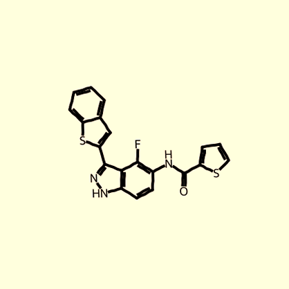 O=C(Nc1ccc2[nH]nc(-c3cc4ccccc4s3)c2c1F)c1cccs1